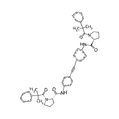 CC(C)(C(=O)N1CCC[C@H]1C(=O)Nc1ccc(C#Cc2ccc(NC(=O)[C@@H]3CCCN3C(=O)C(C)(C)c3ccccc3)cc2)cc1)c1ccccc1